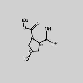 CC(C)(C)OC(=O)N1C[C@H](O)C[C@@H]1C(O)O